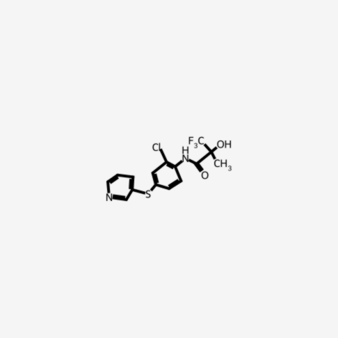 CC(O)(C(=O)Nc1ccc(Sc2cccnc2)cc1Cl)C(F)(F)F